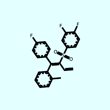 C=C/C(=C(/c1ccc(F)cc1)c1ccccc1C)S(=O)(=O)c1ccc(F)c(F)c1